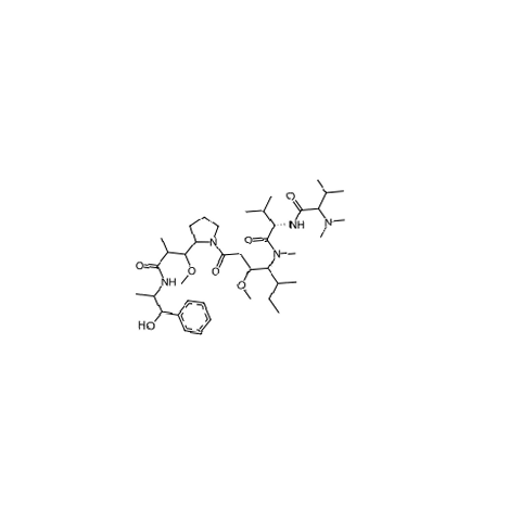 CCC(C)C(C(CC(=O)N1CCCC1C(OC)C(C)C(=O)NC(C)C(O)c1ccccc1)OC)N(C)C(=O)[C@@H](NC(=O)C(C(C)C)N(C)C)C(C)C